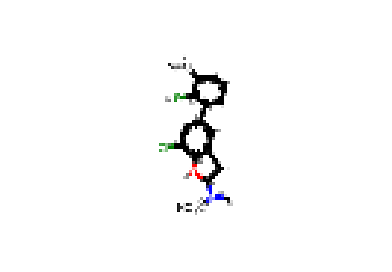 COc1cccc(-c2cc(Cl)c3c(c2)CC(N(C)C(=O)O)O3)c1F